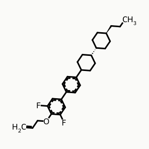 C=CCOc1c(F)cc(-c2ccc(C3CCC([C@H]4CC[C@H](CCC)CC4)CC3)cc2)cc1F